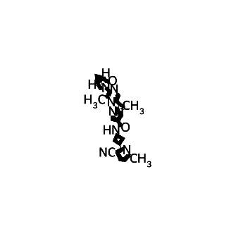 Cc1ccc(C#N)c([C@H]2C[C@@H](NC(=O)c3cnn([C@@H](C)c4cnc(N5C[C@H]6C[C@H]6C5=O)c(C)n4)c3)C2)n1